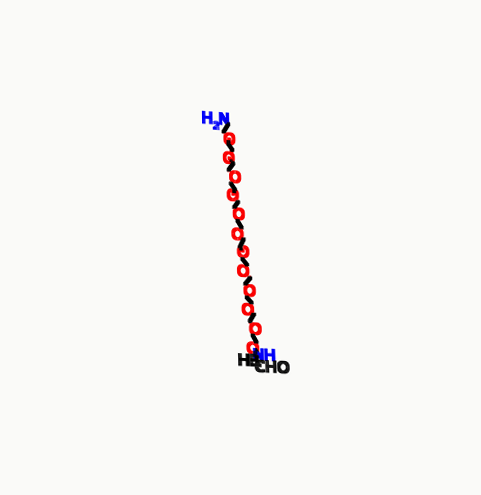 NCCOCCOCCOCCOCCOCCOCCOCCOCCOCCOCCOCCONBC=O